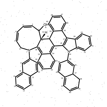 OC1/C=C\C=C/CN(c2ccc3ccccc3c2)C2=c3ccccc3=C3c4c(c5ccccc5n4C4=CC5CC=CC=C5C=C4)-c4ccccc4C3[C@H]21